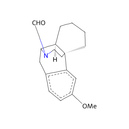 COc1ccc2c(c1)[C@]13CCCC[C@@H]1C(C2)N(C=O)CC3